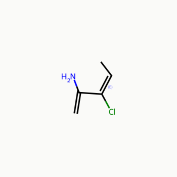 C=C(N)/C(Cl)=C\C